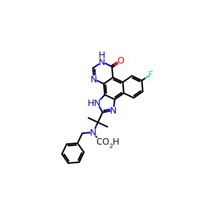 CC(C)(c1nc2c3ccc(F)cc3c3c(=O)[nH]cnc3c2[nH]1)N(Cc1ccccc1)C(=O)O